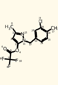 Cc1cc(OC(=O)C(F)(F)F)n(Cc2ccc(C)c(Cl)c2)n1